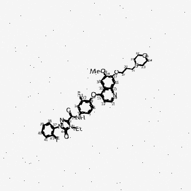 CCn1c(C(=O)Nc2ccc(Oc3ccnc4cc(OCCCN5CCOCC5)c(OC)cc34)c(F)c2)nn(-c2ccccc2F)c1=O